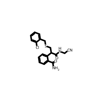 N#CCNC(=O)C(CSCc1ccccc1Cl)c1ccccc1C(N)=O